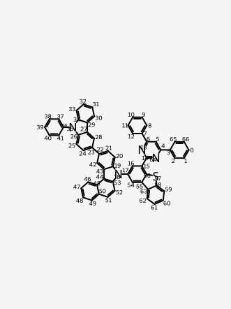 c1ccc(-c2cc(-c3ccccc3)nc(-c3cc(-n4c5ccc(-c6ccc7c(c6)c6ccccc6n7-c6ccccc6)cc5c5c6ccccc6ccc54)cc4c3sc3ccccc34)n2)cc1